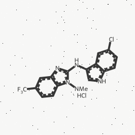 CNn1c(Nc2c[nH]c3ccc(Cl)cc23)nc2cc(C(F)(F)F)ccc21.Cl